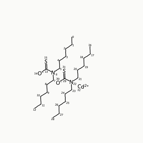 CCCCCCN(CCCCCC)C([O-])=S.CCCCCCN(CCCCCC)C([O-])=S.[Cd+2]